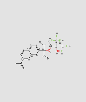 C=C(C)c1ccc2ccc(C(CC)(CC)OC(C)C(O)(C(F)(F)F)C(F)(F)F)cc2c1